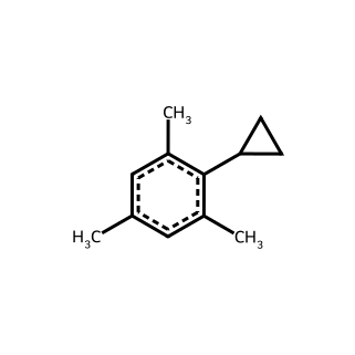 Cc1cc(C)c(C2CC2)c(C)c1